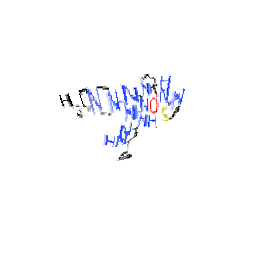 CN1CCN(c2nc(Nc3cc(C4CC4)[nH]n3)nc(N3CCC[C@H]3C(=O)Nc3nccs3)n2)CC1